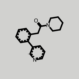 O=C(Cc1ccccc1-c1[c]nccc1)N1CCCCC1